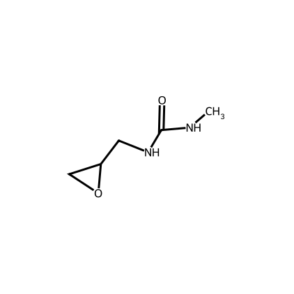 CNC(=O)NCC1CO1